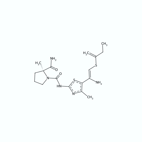 C=C(CC)S/C=C(\N)c1sc(NC(=O)N2CCC[C@@]2(C)C(N)=O)nc1C